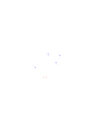 O=C(Nc1ccc2c(c1)CCC2)c1nc(C(Cl)(Cl)Cl)n(-c2ccc(Cl)c(Cl)c2)n1